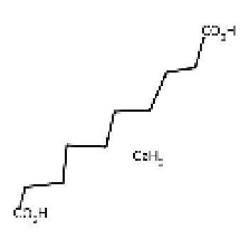 O=C(O)CCCCCCCCC(=O)O.[CaH2]